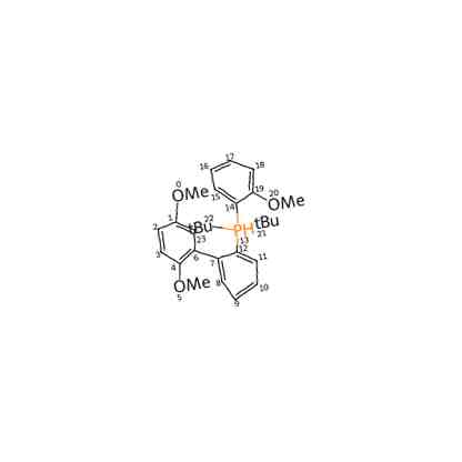 COc1ccc(OC)c(-c2ccccc2[PH](c2ccccc2OC)(C(C)(C)C)C(C)(C)C)c1